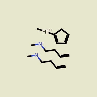 C=CCC[N-]C.C=CCC[N-]C.[CH3][Hf+2][C]1=CC=CC1